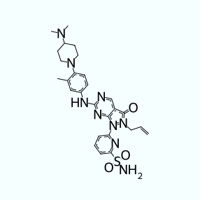 C=CCn1c(=O)c2cnc(Nc3ccc(N4CCC(N(C)C)CC4)c(C)c3)nc2n1-c1cccc(S(N)(=O)=O)n1